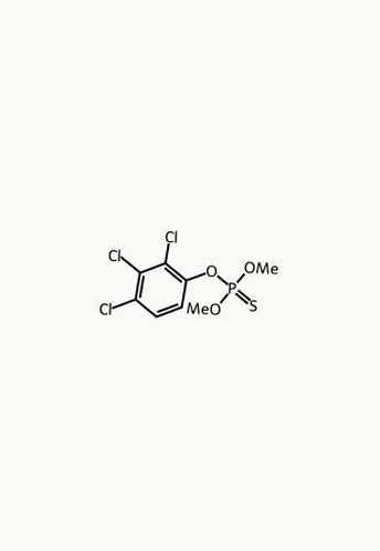 COP(=S)(OC)Oc1ccc(Cl)c(Cl)c1Cl